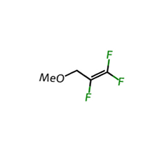 COCC(F)=C(F)F